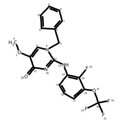 COc1cn(Cc2ccccc2)c(Nc2cccc(OC(F)(F)F)c2F)nc1=O